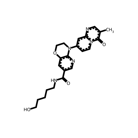 Cc1cnc2cc(N3CCOc4cc(C(=O)NCCCCCO)cnc43)ccn2c1=O